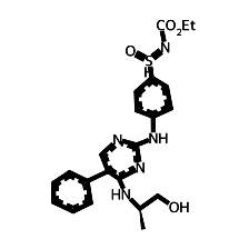 CCOC(=O)/N=[SH](=O)/c1ccc(Nc2ncc(-c3ccccc3)c(N[C@H](C)CO)n2)cc1